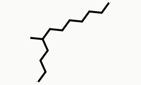 [CH2]CCCCCCC(C)CCC[CH2]